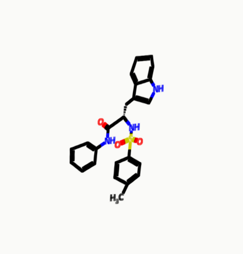 Cc1ccc(S(=O)(=O)N[C@@H](Cc2c[nH]c3ccccc23)C(=O)Nc2ccccc2)cc1